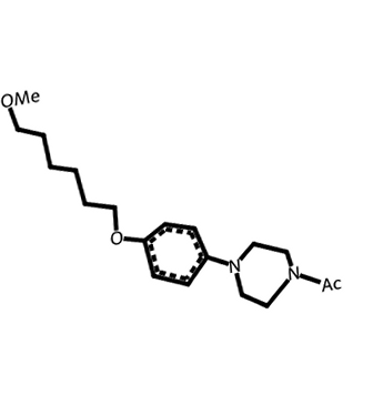 COCCCCCCOc1ccc(N2CCN(C(C)=O)CC2)cc1